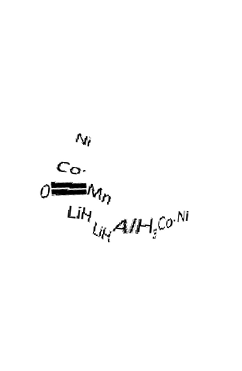 [AlH3].[Co].[Co].[LiH].[LiH].[Ni].[Ni].[O]=[Mn]